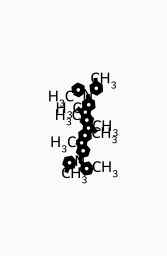 Cc1cccc(N(c2cccc(C)c2)c2ccc3c(c2)C(C)c2cc4c(cc2-3)C(C)(C)c2cc3c(cc2-4)C(C)(C)c2cc(N(c4cccc(C)c4)c4cccc(C)c4)ccc2-3)c1